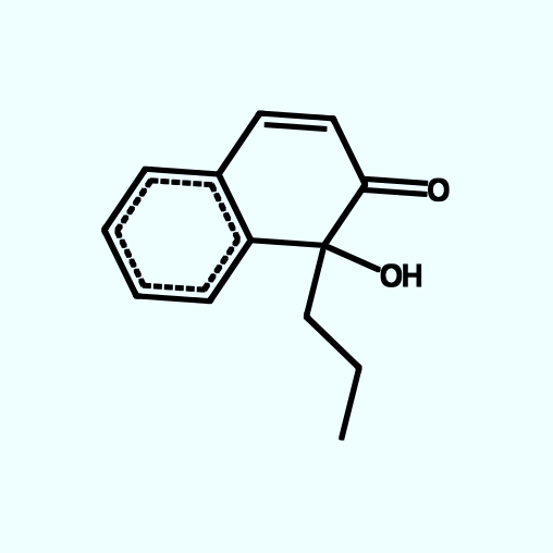 CCCC1(O)C(=O)C=Cc2ccccc21